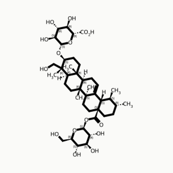 C[C@H]1[C@H](C)CC[C@]2(C(=O)O[C@@H]3O[C@H](CO)[C@@H](O)[C@H](O)[C@H]3O)CC[C@]3(C)C(=CC[C@@H]4[C@@]5(C)CC[C@H](O[C@H]6O[C@@H](C(=O)O)[C@H](O)[C@@H](O)[C@@H]6O)[C@@](C)(CO)[C@@H]5CC[C@]43C)[C@H]12